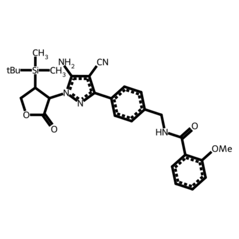 COc1ccccc1C(=O)NCc1ccc(-c2nn(C3C(=O)OCC3[Si](C)(C)C(C)(C)C)c(N)c2C#N)cc1